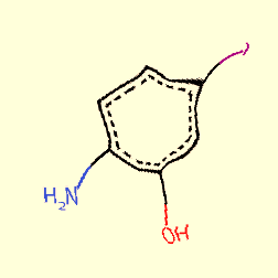 Nc1ccc(I)cc1O